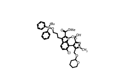 COC(=O)c1c(CCCO[Si](c2ccccc2)(c2ccccc2)C(C)(C)C)c2ccc(Cl)c(-c3c(CO)nn(C)c3COC3CCCCO3)c2n1C